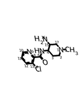 CN1CCC(NC(=O)c2ncccc2Cl)C(N)C1